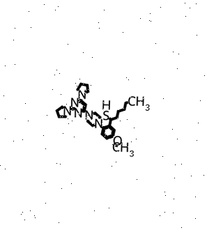 CCCCCC(S)c1cc(OC)ccc1N1CCN(c2cc(N3CCCC3)nc(N3CCCC3)n2)CC1